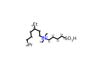 CCC(CCCC(C)C)CC[N+](C)(C)CCCCS(=O)(=O)O